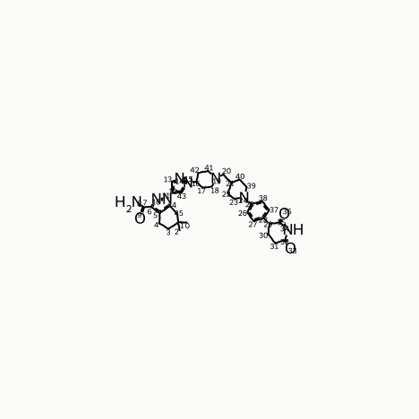 CC1(C)CCc2c(C(N)=O)nn(-c3cnn(C4CCN(CC5CCN(c6ccc([C@@H]7CCC(=O)NC7=O)cc6)CC5)CC4)c3)c2C1